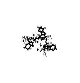 CC(C)(C)c1nn2ncccc2c1C(C)(C)CCC(C)(C)c1nn2cccnc2c1C(C)(C)CCC(C)(C)n1nc2c(c1C(C)(C)C)CCCC2